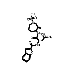 CC(C)C[C@H](NC(=O)c1cc2ccccc2o1)C(=O)NC1CCCN(S(C)(=O)=O)CC1=O